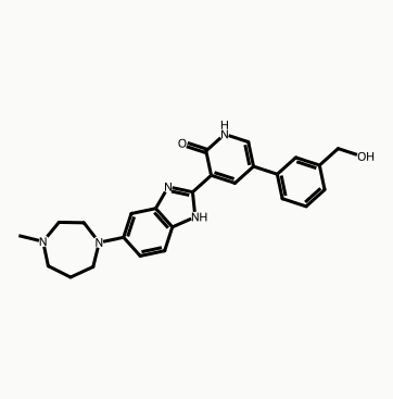 CN1CCCN(c2ccc3[nH]c(-c4cc(-c5cccc(CO)c5)c[nH]c4=O)nc3c2)CC1